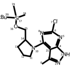 Cc1n[nH]c2nc(Cl)nc(N3CCCC3CO[Si](C)(C)C(C)(C)C)c12